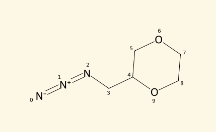 [N-]=[N+]=NCC1COCCO1